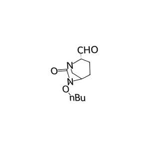 CCCCON1C(=O)N2CC1CC[C@H]2C=O